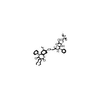 CCCCC1(CCCC)C(=O)Sc2cc(OCC(=O)N[C@@H](C(=O)N[C@@H](CCS(C)(=O)=O)C(=O)O)c3ccccc3)c(SC)cc2N(c2ccccc2)C1=O